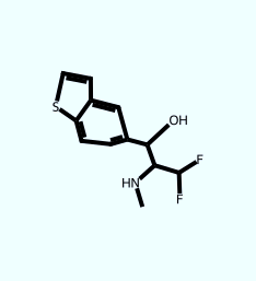 CNC(C(F)F)C(O)c1ccc2sccc2c1